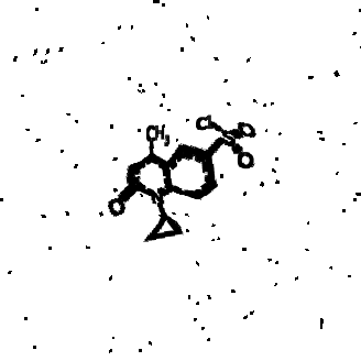 Cc1cc(=O)n(C2CC2)c2ccc(S(=O)(=O)Cl)cc12